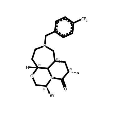 CC(C)[C@H]1CO[C@@H]2CCN(Cc3ccc(C(F)(F)F)cc3)C[C@H]3C[C@H](C)C(=O)N1C32